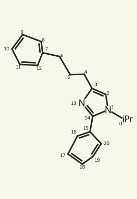 CC(C)n1cc(CCCc2ccccc2)nc1-c1ccccc1